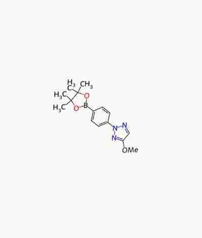 COc1cnn(-c2ccc(B3OC(C)(C)C(C)(C)O3)cc2)n1